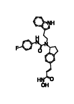 O=C(C=Cc1ccc2c(c1)CCC2N(CCc1c[nH]c2ccccc12)C(=O)Nc1ccc(F)cc1)NO